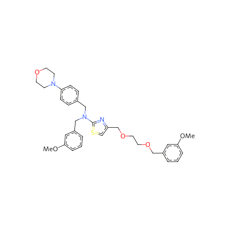 COc1cccc(COCCOCc2csc(N(Cc3ccc(N4CCOCC4)cc3)Cc3cccc(OC)c3)n2)c1